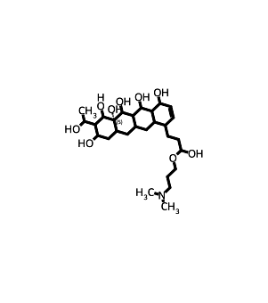 CC(O)C1C(O)CC2CC3CC4C(CCC(O)OCCCN(C)C)C=CC(O)C4C(O)C3C(O)[C@]2(O)C1O